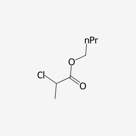 CCCCOC(=O)C(C)Cl